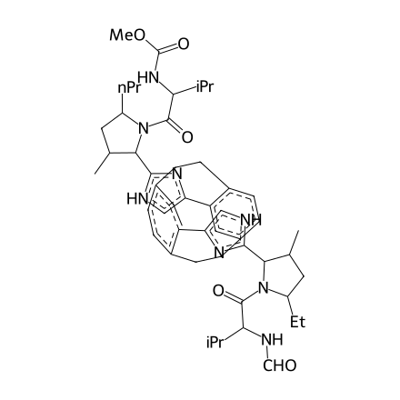 CCCC1CC(C)C(c2nc(-c3cc4ccc3CCc3ccc(c(-c5c[nH]c(C6C(C)CC(CC)N6C(=O)C(NC=O)C(C)C)n5)c3)CC4)c[nH]2)N1C(=O)C(NC(=O)OC)C(C)C